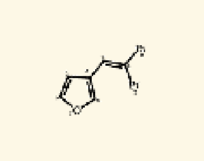 BrC(Br)=Cc1ccoc1